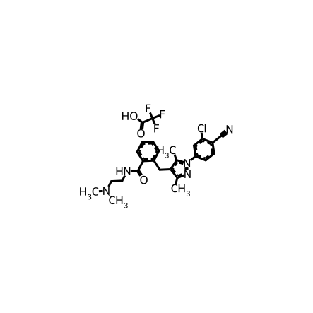 Cc1nn(-c2ccc(C#N)c(Cl)c2)c(C)c1Cc1ccccc1C(=O)NCCN(C)C.O=C(O)C(F)(F)F